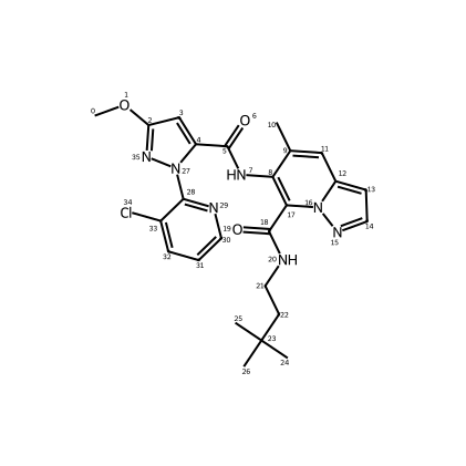 COc1cc(C(=O)Nc2c(C)cc3ccnn3c2C(=O)NCCC(C)(C)C)n(-c2ncccc2Cl)n1